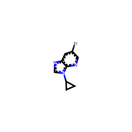 CCc1cnc2c(c1)ncn2C1CC1